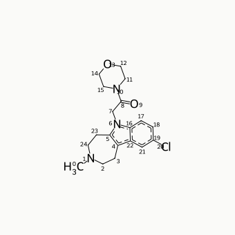 CN1CCc2c(n(CC(=O)N3CCOCC3)c3ccc(Cl)cc23)CC1